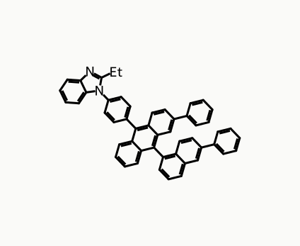 CCc1nc2ccccc2n1-c1ccc(-c2c3ccccc3c(-c3cccc4cc(-c5ccccc5)ccc34)c3cc(-c4ccccc4)ccc23)cc1